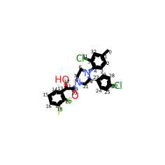 Cc1ccc(N2CCN(C(=O)C(O)c3cccc(F)c3F)C[C@H]2c2ccc(Cl)cc2)c(Cl)c1